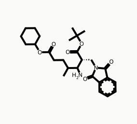 CC(CCC(=O)OC1CCCCC1)C(N)[C@@H](CN1C(=O)c2ccccc2C1=O)C(=O)OC(C)(C)C